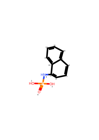 O=P(O)(O)Nc1cccc2ccccc12